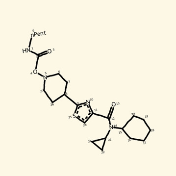 CCCCCNC(=O)ON1CCC(c2nc(C(=O)N(C3CCCCC3)C3CC3)cs2)CC1